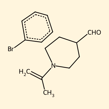 Brc1ccccc1.C=C(C)N1CCC(C=O)CC1